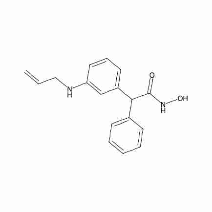 C=CCNc1cccc(C(C(=O)NO)c2ccccc2)c1